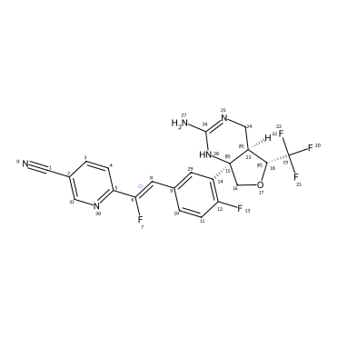 N#Cc1ccc(/C(F)=C/c2ccc(F)c([C@@]34CO[C@@H](C(F)(F)F)[C@@H]3CN=C(N)N4)c2)nc1